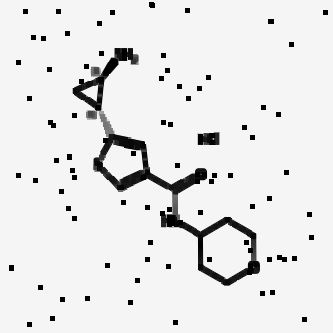 Cl.N[C@@H]1C[C@H]1c1cc(C(=O)NC2CCOCC2)cs1